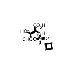 C1CCC1.CS(=O)(=O)NC(C(=O)O)=C(O)C=O